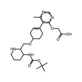 Cc1ncnc(OCC(=O)O)c1C1=CCC(OCC2NCCCC2NC(=O)OC(C)(C)C)CC1